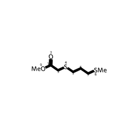 COC(=O)CSCCCSC